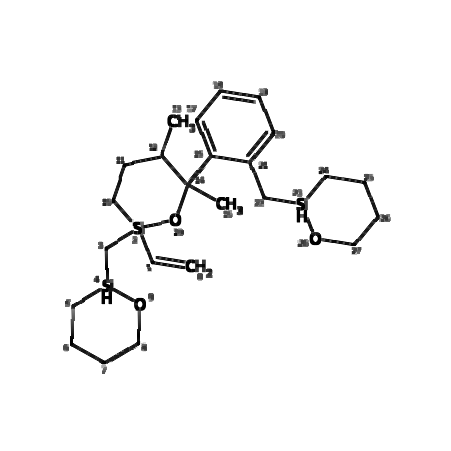 C=C[Si]1(C[SiH]2CCCCO2)CCC(C)C(C)(c2ccccc2C[SiH]2CCCCO2)O1